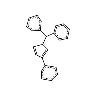 C1=CC(c2ccccc2)=C[C]1C(c1ccccc1)c1ccccc1